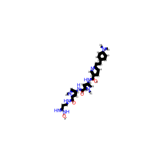 CONC(=N)CCNC(=O)c1cc(NC(=O)c2cc(NC(=O)c3ccc(/C=C/c4ccc(N(C)C)cc4)nc3)cn2C)cn1C